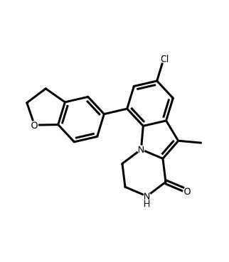 Cc1c2n(c3c(-c4ccc5c(c4)CCO5)cc(Cl)cc13)CCNC2=O